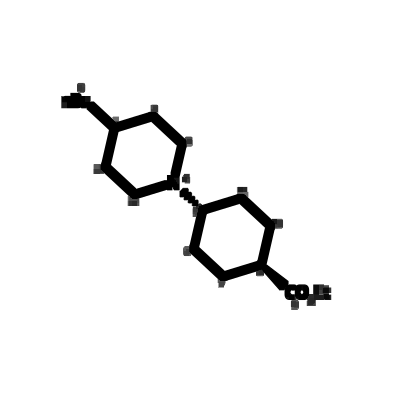 CCCCC1CCN([C@H]2CC[C@H](C(=O)OCC)CC2)CC1